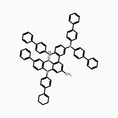 Cc1cc(-c2cc(N(c3ccc(-c4ccccc4)cc3)c3ccc(-c4ccccc4)cc3)ccc2Nc2ccc(-c3ccccc3)cc2)c2c(c1)N(c1ccc(C3=CCCCC3)cc1)c1ccc(-c3ccccc3)cc1B2